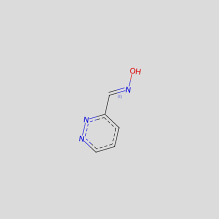 O/N=C/c1cccnn1